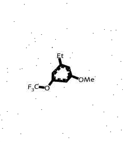 CCc1cc(OC)cc(OC(F)(F)F)c1